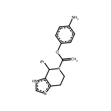 C=C(Oc1ccc(N)cc1)N1CCc2nc[nH]c2C1C(C)C